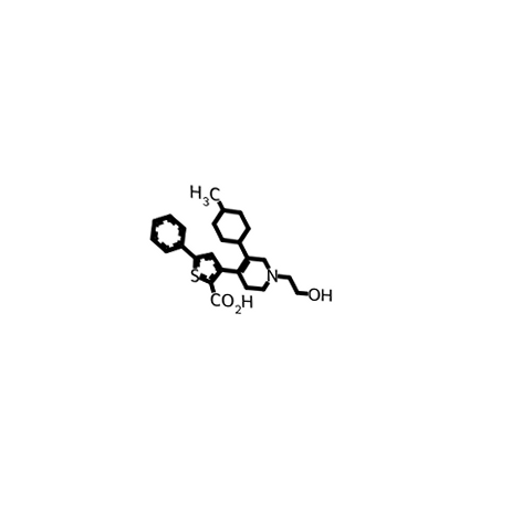 CC1CCC(C2=C(c3cc(-c4ccccc4)sc3C(=O)O)CCN(CCO)C2)CC1